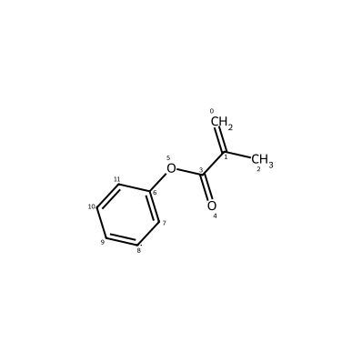 C=C(C)C(=O)Oc1c[c]ccc1